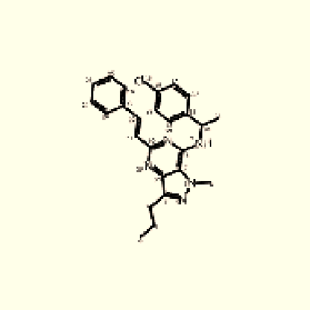 CCCc1nn(C)c2c(NC(C)c3ccc(Cl)cc3)nc(/C=C/c3ccccc3)nc12